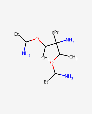 CCCC(N)(C(C)OC(N)CC)C(C)OC(N)CC